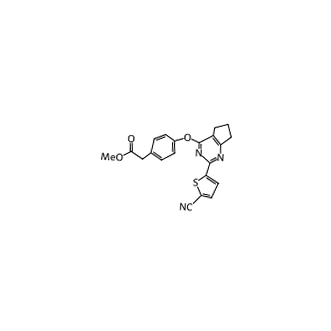 COC(=O)Cc1ccc(Oc2nc(-c3ccc(C#N)s3)nc3c2CCC3)cc1